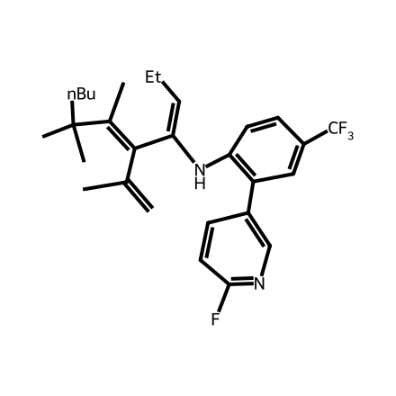 C=C(C)C(/C(=C\CC)Nc1ccc(C(F)(F)F)cc1-c1ccc(F)nc1)=C(/C)C(C)(C)CCCC